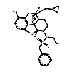 CC(C)CN([C@@H]1CC[C@H]2[C@H]3Cc4c(O)ccc5c4[C@@]2(CCN3CC2CC2)[C@H]1O5)S(=O)(=O)Cc1ccccc1